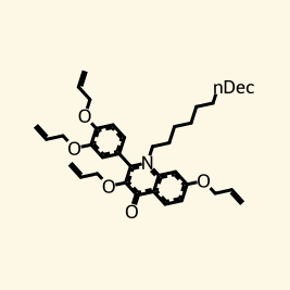 C=CCOc1ccc2c(=O)c(OCC=C)c(-c3ccc(OCC=C)c(OCC=C)c3)n(CCCCCCCCCCCCCCCC)c2c1